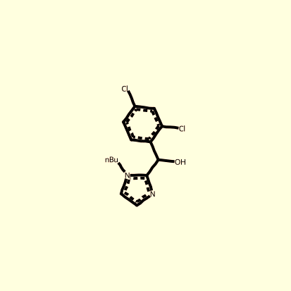 CCCCn1ccnc1C(O)c1ccc(Cl)cc1Cl